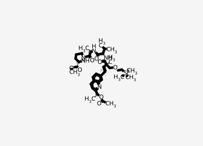 COC(=O)[C@@H]1CCCN(C(=O)[C@H](C)NC(=O)[C@@H](NC(=O)[C@](C)(/C=C/c2ccc3ccc([C@@H](C)OC(C)=O)nc3c2)COCC[Si](C)(C)C)C(C)C)N1